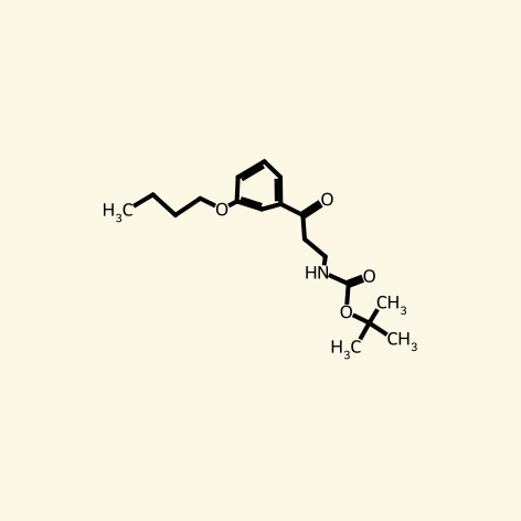 CCCCOc1cccc(C(=O)CCNC(=O)OC(C)(C)C)c1